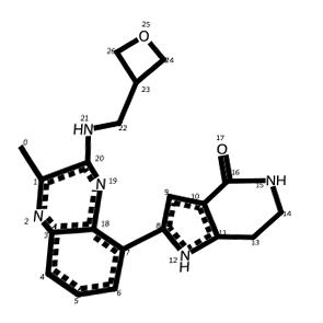 Cc1nc2cccc(-c3cc4c([nH]3)CCNC4=O)c2nc1NCC1COC1